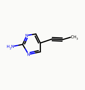 CC#Cc1cnc(N)nc1